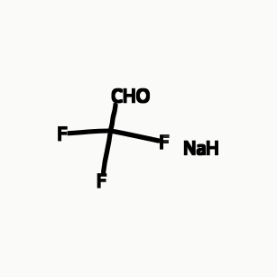 O=CC(F)(F)F.[NaH]